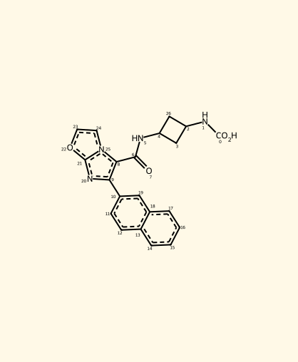 O=C(O)NC1CC(NC(=O)c2c(-c3ccc4ccccc4c3)nc3occn23)C1